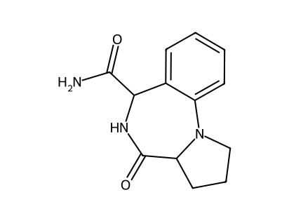 NC(=O)C1NC(=O)C2CCCN2c2ccccc21